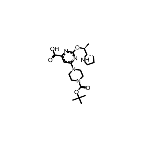 C[C@H](Oc1nc(C(=O)O)cc(N2CCN(C(=O)OC(C)(C)C)CC2)n1)[C@@H]1CCCN1